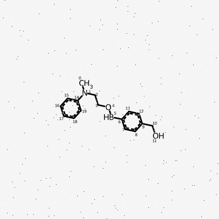 CN(CCOBc1ccc(CO)cc1)c1ccccc1